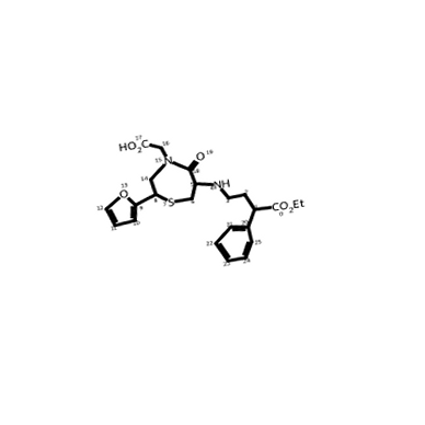 CCOC(=O)C(CCNC1CSC(c2ccco2)CN(CC(=O)O)C1=O)c1ccccc1